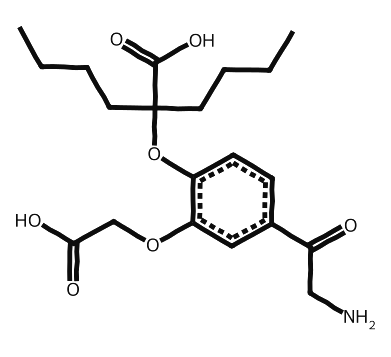 CCCCC(CCCC)(Oc1ccc(C(=O)CN)cc1OCC(=O)O)C(=O)O